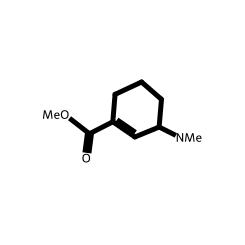 CNC1C=C(C(=O)OC)CCC1